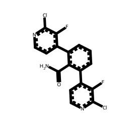 NC(=O)c1c(-c2ccnc(Cl)c2F)cccc1-c1ccnc(Cl)c1F